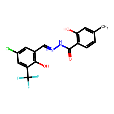 Cc1ccc(C(=O)N/N=C/c2cc(Cl)cc(C(F)(F)F)c2O)c(O)c1